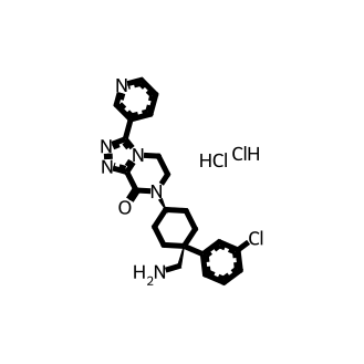 Cl.Cl.NC[C@]1(c2cccc(Cl)c2)CC[C@H](N2CCn3c(nnc3-c3cccnc3)C2=O)CC1